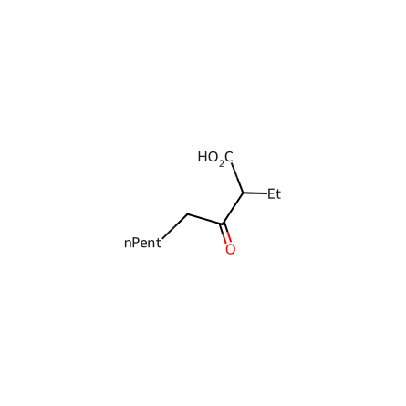 CCCCCCC(=O)C(CC)C(=O)O